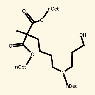 CCCCCCCCCCN(CCCO)CCCCC(C)(C(=O)OCCCCCCCC)C(=O)OCCCCCCCC